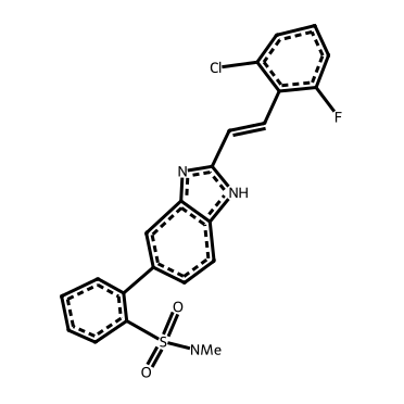 CNS(=O)(=O)c1ccccc1-c1ccc2[nH]c(/C=C/c3c(F)cccc3Cl)nc2c1